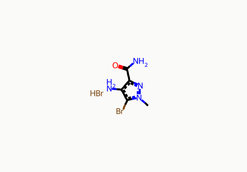 Br.Cn1nc(C(N)=O)c(N)c1Br